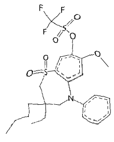 CCCCC1(CC)CN(c2ccccc2)c2cc(OC)c(OS(=O)(=O)C(F)(F)F)cc2S(=O)(=O)C1